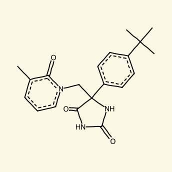 Cc1cccn(CC2(c3ccc(C(C)(C)C)cc3)NC(=O)NC2=O)c1=O